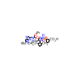 CCc1c(OCC(COC(C)C)NCc2cnc3cc(C(C)(C)C)n(C)c3n2)nc(NS(=O)(=O)c2cccc(C(=O)O)c2)nc1-c1c(C)cccc1C